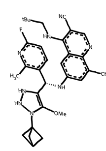 COC1=C([C@@H](Nc2cc(C#N)c3ncc(C#N)c(NCC(C)(C)C)c3c2)c2ccc(F)nc2C)NNN1C12CC(C1)C2